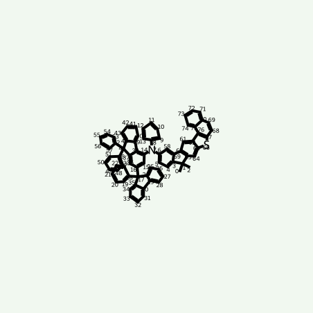 CC1(C)c2ccc(N(c3ccccc3)c3cc(C4(c5ccccc5)c5ccccc5-c5ccccc54)cc4c3-c3ccccc3C4(c3ccccc3)c3ccccc3)cc2-c2cc3c(cc21)sc1ccc2ccccc2c13